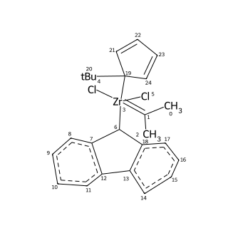 C[C](C)=[Zr]([Cl])([Cl])([CH]1c2ccccc2-c2ccccc21)[C]1(C(C)(C)C)C=CC=C1